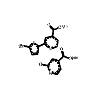 COC(=O)c1ccnc(-c2ccc(C(C)(C)C)s2)c1.COC(=O)c1ccnc(Cl)c1